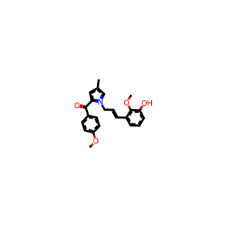 COc1ccc(C(=O)c2cc(C)cn2CC=Cc2cccc(O)c2OC)cc1